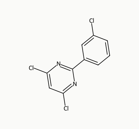 Clc1cccc(-c2nc(Cl)cc(Cl)n2)c1